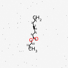 C=CCC#CCCC(=O)OCCC